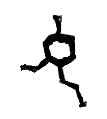 COc1cc(Cl)ccc1SCC(C)=O